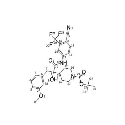 COc1cccc(CC(O)(C(=O)Nc2ccc(C#N)c(C(F)(F)F)c2)C2CCN(C(=O)OC(C)(C)C)CC2)c1